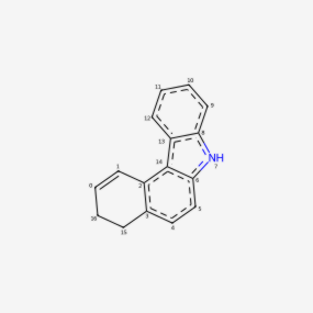 C1=Cc2c(ccc3[nH]c4ccccc4c23)CC1